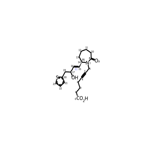 O=C(O)CCCC#CCN1C(=O)CCCC[C@@H]1/C=C/C(O)Cc1cccs1